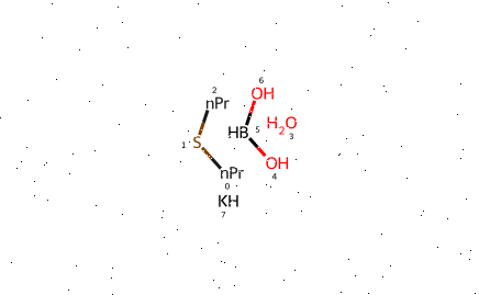 CCCSCCC.O.OBO.[KH]